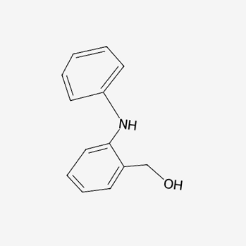 OCc1ccccc1Nc1ccccc1